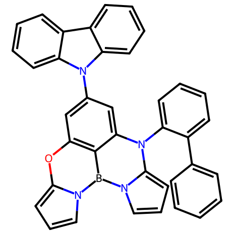 c1ccc(-c2ccccc2N2c3cc(-n4c5ccccc5c5ccccc54)cc4c3B(n3cccc3O4)n3cccc32)cc1